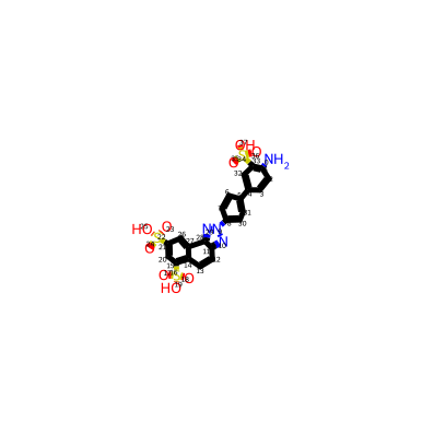 Nc1ccc(-c2ccc(-n3nc4ccc5c(S(=O)(=O)O)cc(S(=O)(=O)O)cc5c4n3)cc2)cc1S(=O)(=O)O